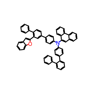 c1ccc(-c2ccccc2-c2ccc(N(c3ccc(-c4ccc(-c5ccccc5)c(-c5cc6ccccc6o5)c4)cc3)c3cc4ccccc4c4ccccc34)cc2)cc1